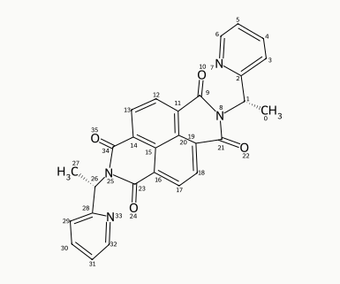 C[C@@H](c1ccccn1)N1C(=O)c2ccc3c4c(ccc(c24)C1=O)C(=O)N([C@@H](C)c1ccccn1)C3=O